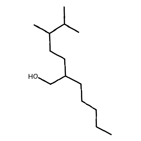 CCCCCC(CO)CCC(C)C(C)C